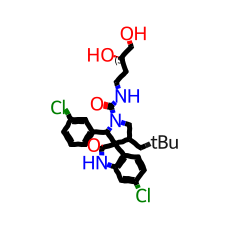 CC(C)(C)CC1CN(C(=O)NCC[C@H](O)CO)C(c2cccc(Cl)c2)C12C(=O)Nc1cc(Cl)ccc12